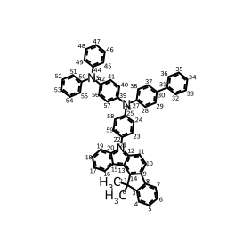 CC1(C)c2ccccc2-c2ccc3c(c21)c1ccccc1n3-c1ccc(N(c2ccc(-c3ccccc3)cc2)c2ccc(N(c3ccccc3)c3ccccc3)cc2)cc1